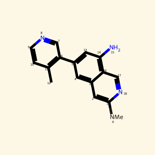 CNc1cc2cc(-c3cnccc3C)cc(N)c2cn1